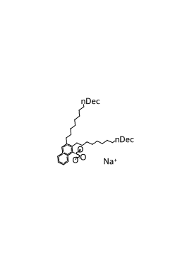 CCCCCCCCCCCCCCCCCCc1cc2ccccc2c(S(=O)(=O)[O-])c1CCCCCCCCCCCCCCCCCC.[Na+]